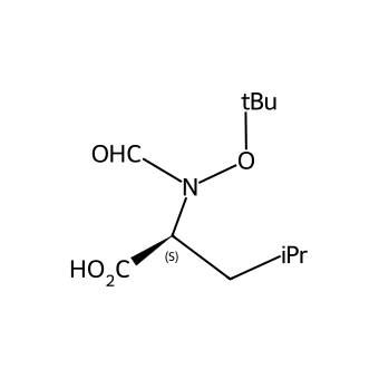 CC(C)C[C@@H](C(=O)O)N(C=O)OC(C)(C)C